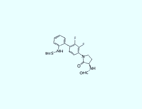 CSNc1ccccc1-c1ccc(N2CC[C@@H](NC=O)C2=O)c(F)c1F